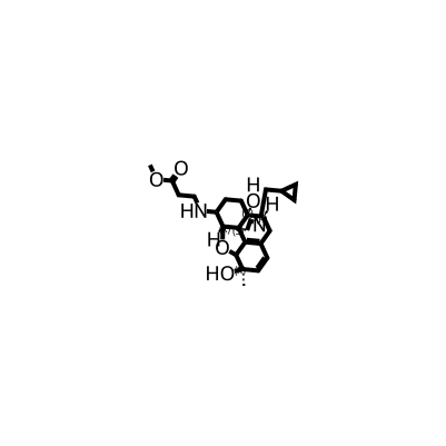 COC(=O)CCNC1CC[C@@]2(O)[C@H]3CC4=C5C(O[C@@H]1[C@]52CCN3CC1CC1)[C@](C)(O)C=C4